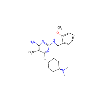 CN(C)[C@H]1CC[C@H](Cc2nc(NCc3ccccc3OC(F)(F)F)nc(N)c2[N+](=O)[O-])CC1